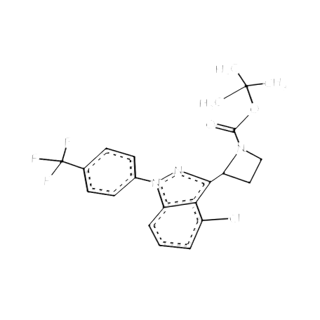 CC(C)(C)OC(=O)N1CCC1c1nn(-c2ccc(C(F)(F)F)cc2)c2cccc(Cl)c12